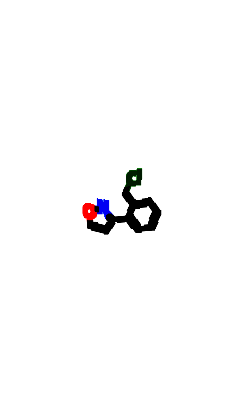 ClCc1ccccc1-c1ccon1